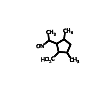 CC1CC(C)C(C(C)N=O)C1C(=O)O